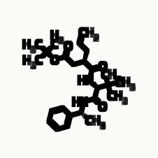 C=CC[C@H](CC(=O)OC(C)(C)C)C(=O)N[C@H](C(=O)N[C@H](C)c1ccccc1)C(C)(C)C